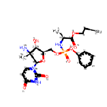 C[C@H](NP(=O)(OC[C@H]1O[C@@H](n2ccc(=O)[nH]c2=O)[C@](C)(N)[C@@H]1O)Oc1ccccc1)C(=O)OCCC(C)(C)C